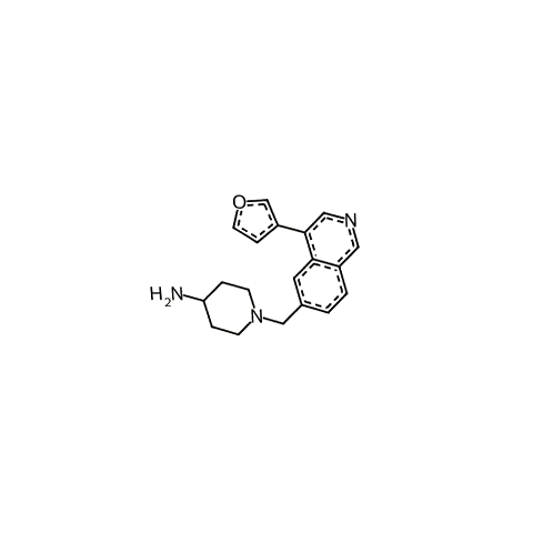 NC1CCN(Cc2ccc3cncc(-c4ccoc4)c3c2)CC1